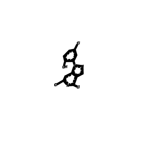 Oc1ccc(Cl)cc1-n1ncc2c(Cl)nc(Cl)cc21